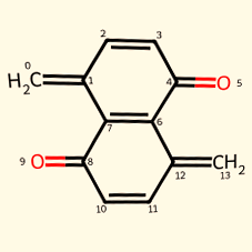 C=C1C=CC(=O)C2=C1C(=O)C=CC2=C